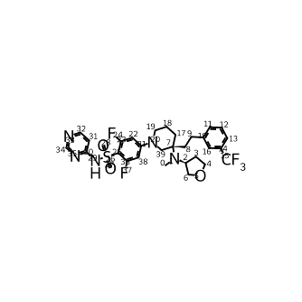 CN([C@H]1CCOC1)[C@@]1(CCc2cccc(C(F)(F)F)c2)CCCN(c2cc(F)c(S(=O)(=O)Nc3ccncn3)c(F)c2)C1